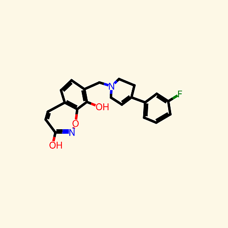 OC1=NOc2c(ccc(CN3CC=C(c4cccc(F)c4)CC3)c2O)C=C1